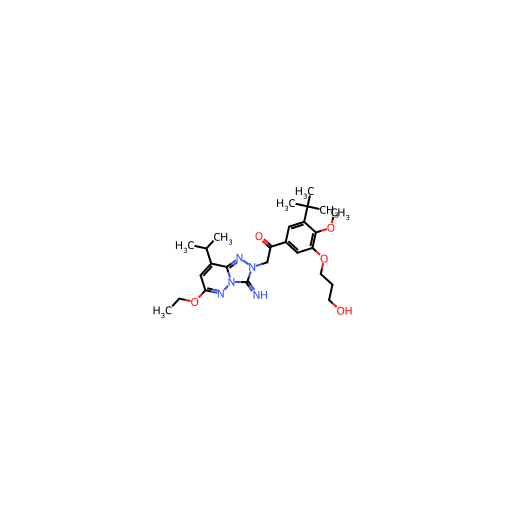 CCOc1cc(C(C)C)c2nn(CC(=O)c3cc(OCCCO)c(OC)c(C(C)(C)C)c3)c(=N)n2n1